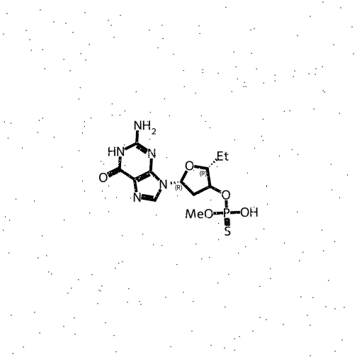 CC[C@H]1O[C@@H](n2cnc3c(=O)[nH]c(N)nc32)CC1OP(O)(=S)OC